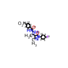 CC1=NN(c2ccc(I)cc2)C(=O)/C1=C(/C)NNC(=O)c1ccc([N+](=O)[O-])cc1